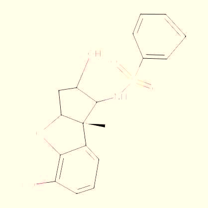 O=S(=O)(NC1C(O)CC2Oc3c(O)cccc3[C@H]21)c1ccccc1